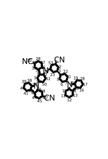 N#Cc1cc(-c2ccc(-n3c4ccccc4c4ccccc43)cc2)cc(-n2c3ccc(C#N)cc3c3cc(-n4c5ccccc5c5ccc(C#N)cc54)ccc32)c1